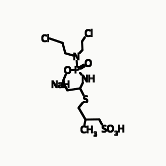 CC(CSC1CCOP(=O)(N(CCCl)CCCl)N1)CS(=O)(=O)O.[NaH]